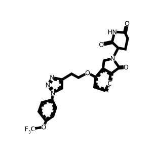 O=C1CCC(N2Cc3c(OCCc4cn(-c5ccc(OC(F)(F)F)cc5)nn4)cccc3C2=O)C(=O)N1